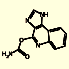 NC(=O)Oc1nc2ccccc2c2[nH]cnc12